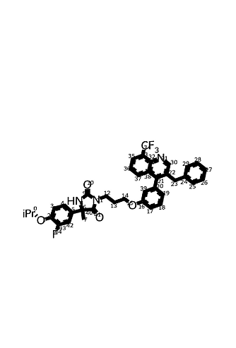 CC(C)Oc1ccc(C2(C)NC(=O)N(CCCOc3cccc(-c4c(Cc5ccccc5)cnc5c(C(F)(F)F)cccc45)c3)C2=O)cc1F